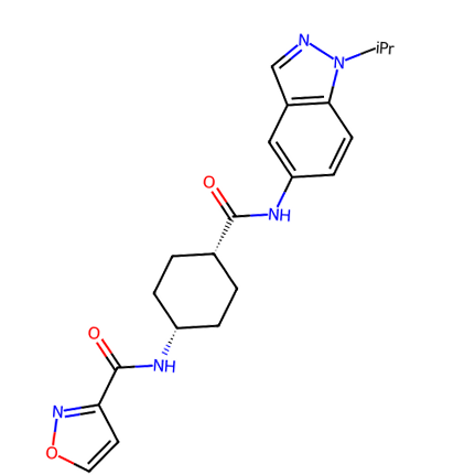 CC(C)n1ncc2cc(NC(=O)[C@H]3CC[C@@H](NC(=O)c4ccon4)CC3)ccc21